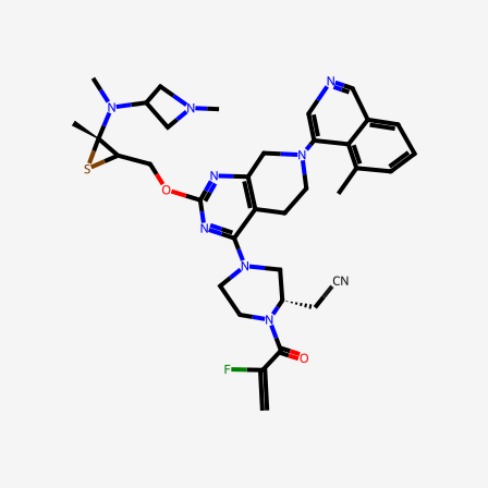 C=C(F)C(=O)N1CCN(c2nc(OCC3S[C@]3(C)N(C)C3CN(C)C3)nc3c2CCN(c2cncc4cccc(C)c24)C3)C[C@@H]1CC#N